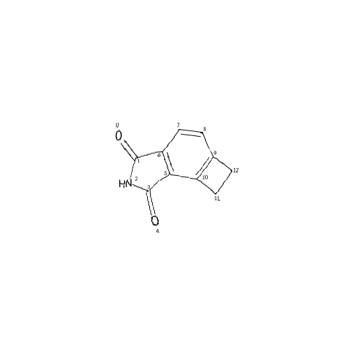 O=C1NC(=O)c2c1ccc1c2CC1